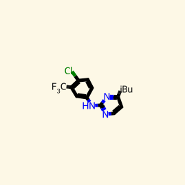 CCC(C)c1ccnc(Nc2ccc(Cl)c(C(F)(F)F)c2)n1